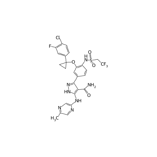 Cc1cnc(Nc2[nH]nc(-c3ccc(NS(=O)(=O)CC(F)(F)F)c(OC4(c5ccc(Cl)c(F)c5)CC4)c3)c2C(N)=O)cn1